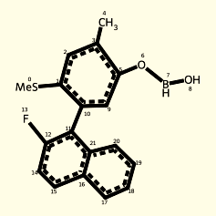 CSc1cc(C)c(OBO)cc1-c1c(F)ccc2ccccc12